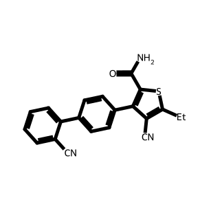 CCc1sc(C(N)=O)c(-c2ccc(-c3ccccc3C#N)cc2)c1C#N